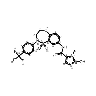 Cn1c(C(=O)Nc2ccc3c(c2)S(=O)(=O)N(c2ccc(C(F)(F)F)cc2)CCO3)cnc1O